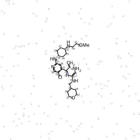 C=C/C(=N\C(=C/N)NCC1CCOCC1)c1cc(N[C@H]2CC[C@H](NCCOC)CC2)ncc1Cl